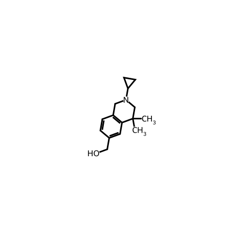 CC1(C)CN(C2CC2)Cc2ccc(CO)cc21